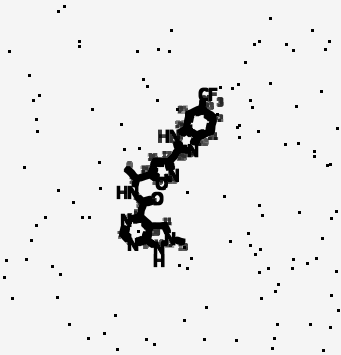 CC(NC(=O)c1ncnc2c1CN(C)N2)c1cc(-c2nc3ccc(C(F)(F)F)cc3[nH]2)no1